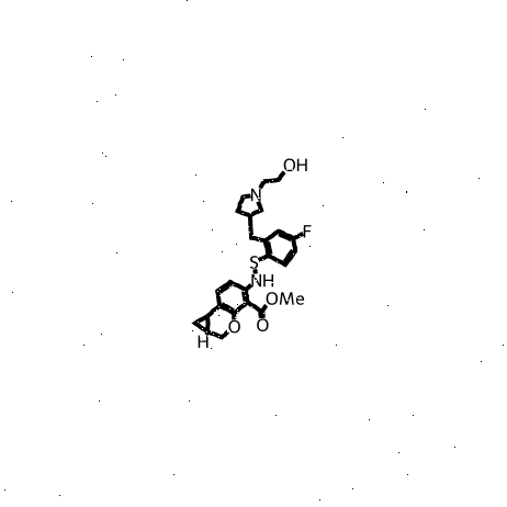 COC(=O)c1c(NSc2ccc(F)cc2CC2CCN(CCO)C2)ccc2c1OC[C@@H]1CC21